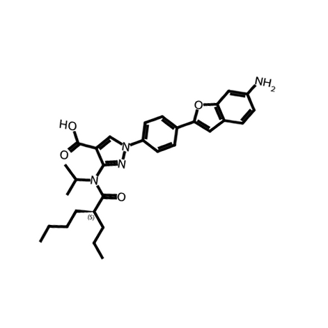 CCCC[C@H](CCC)C(=O)N(c1nn(-c2ccc(-c3cc4ccc(N)cc4o3)cc2)cc1C(=O)O)C(C)C